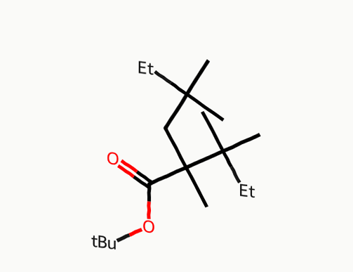 CCC(C)(C)CC(C)(C(=O)OC(C)(C)C)C(C)(C)CC